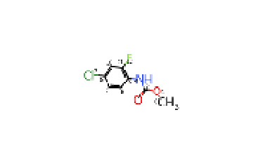 COC(=O)Nc1ccc(Cl)cc1F